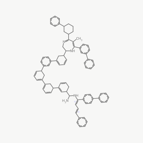 CC1=C(c2cccc(-c3ccccc3)c2)NC(C2C=CC=C(c3cccc(C4C=CC=C(C5=CC=CC(C6=CC(C(N)N/C(=C/C=C/c7ccccc7)c7ccc(-c8ccccc8)cc7)CC=C6)C5)C4)c3)C2)CN=C1C1CCCC(c2ccccc2)C1